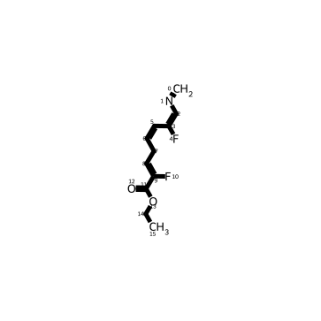 C=N/C=C(F)\C=C/C/C=C(\F)C(=O)OCC